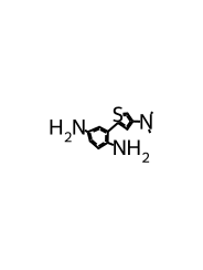 CN(C)c1csc(-c2cc(N)ccc2N)c1